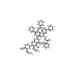 COc1cc(-c2oc3cc(O[C@@H]4OC(COC(=O)c5ccccc5)[C@H](OC(=O)c5ccccc5)C(OC(=O)c5ccccc5)[C@@H]4OC(=O)c4ccccc4)cc(OC)c3c(=O)c2OC)ccc1O